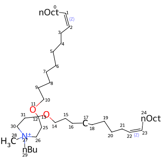 CCCCCCCC/C=C\CCCCCCCCOC1(OCCCCCCCC/C=C\CCCCCCCC)CC[N+](C)(CCCC)CC1